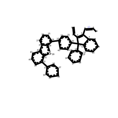 C=CC1=C(/C=C\C)c2ccccc2C1(c1ccccc1)c1ccc(-c2cccc3c2sc2c(-c4ccccc4)cccc23)cc1